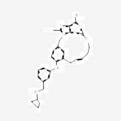 Nc1nc2nc3c1nc(O)n3Cc1ccc(Nc3cccc(CNC4CCC4)c3)c(c1)C/C=C/CCO2